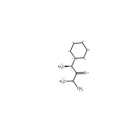 CC(C)C(=O)[C@@H](C)N1CCCCC1